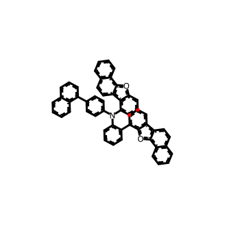 c1ccc(N(c2ccc(-c3cccc4ccccc34)cc2)c2cccc3oc4c5ccccc5ccc4c23)c(-c2cccc3c2oc2c4ccccc4ccc32)c1